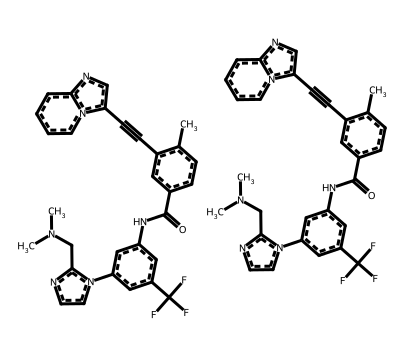 Cc1ccc(C(=O)Nc2cc(-n3ccnc3CN(C)C)cc(C(F)(F)F)c2)cc1C#Cc1cnc2ccccn12.Cc1ccc(C(=O)Nc2cc(-n3ccnc3CN(C)C)cc(C(F)(F)F)c2)cc1C#Cc1cnc2ccccn12